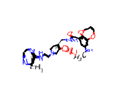 CNc1cc2c(c(C(=O)NC[C@@H]3CCN(CCNc4nccnc4C)CC3O)c1)OCCCO2